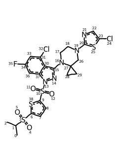 CC(C)S(=O)(=O)c1ccc(S(=O)(=O)n2nc(N3CCN(c4ncc(Cl)s4)CC34CC4)c3c(Cl)cc(F)cc32)s1